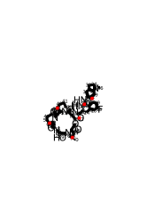 C[C@@H]1C[C@H]2C(=O)O[C@@H](C)[C@H](NC(=O)[C@H](Cc3cc(F)cc(F)c3)NC(=O)Nc3ccc4c(c3)CCN4C)C(=O)N3CCCC[C@H]3C(=O)N3CCCC[C@H]3C(=O)N[C@@H](C)C(=O)N2C1